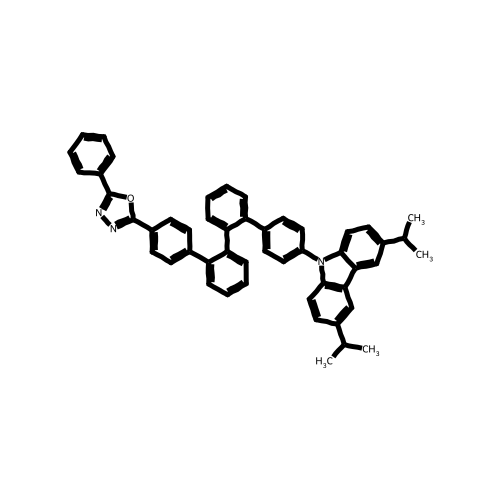 CC(C)c1ccc2c(c1)c1cc(C(C)C)ccc1n2-c1ccc(-c2ccccc2-c2ccccc2-c2ccc(-c3nnc(-c4ccccc4)o3)cc2)cc1